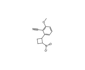 COc1cccc(C2CCC2[N+](=O)[O-])c1C#N